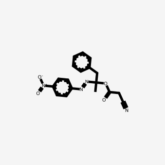 CC(Cc1ccccc1)(N=Nc1ccc([N+](=O)[O-])cc1)OC(=O)CC#N